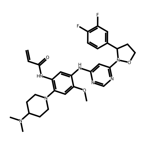 C=CC(=O)Nc1cc(Nc2cc(N3OCCC3c3ccc(F)c(F)c3)ncn2)c(OC)cc1N1CCC(N(C)C)CC1